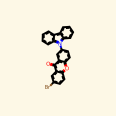 O=c1c2cc(Br)ccc2oc2ccc(-n3c4ccccc4c4ccccc43)cc12